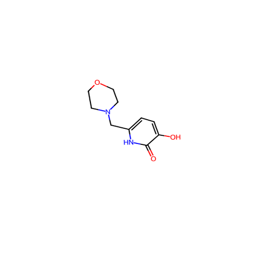 O=c1[nH]c(CN2CCOCC2)ccc1O